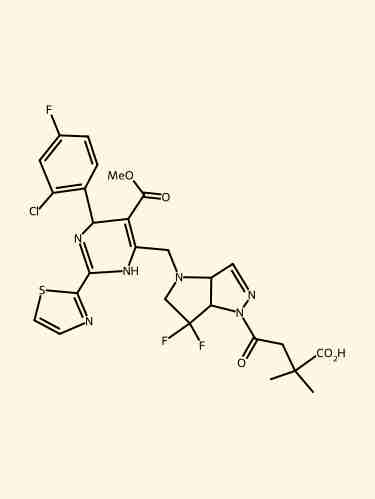 COC(=O)C1=C(CN2CC(F)(F)C3C2C=NN3C(=O)CC(C)(C)C(=O)O)NC(c2nccs2)=NC1c1ccc(F)cc1Cl